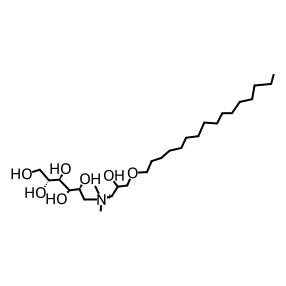 CCCCCCCCCCCCCCCCOCC(O)C[N+](C)(C)C[C@H](O)[C@@H](O)[C@H](O)[C@H](O)CO